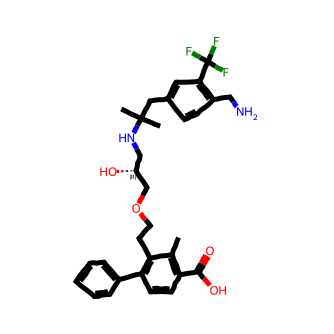 Cc1c(C(=O)O)ccc(-c2ccccc2)c1CCOC[C@H](O)CNC(C)(C)Cc1ccc(CN)c(C(F)(F)F)c1